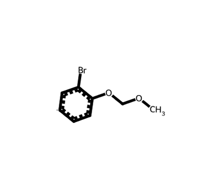 COCOc1cc[c]cc1Br